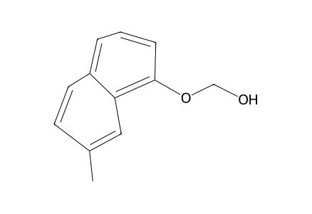 Cc1ccc2cccc(OCO)c2c1